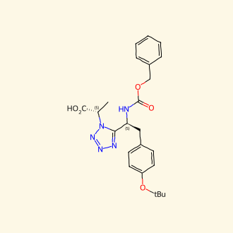 C[C@@H](C(=O)O)n1nnnc1[C@H](Cc1ccc(OC(C)(C)C)cc1)NC(=O)OCc1ccccc1